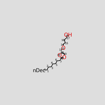 CCCCCCCCCCCCCCCCC[C@@H]1OC[C@@H](COCCCCO)O1